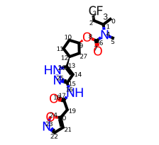 CC(CC(F)(F)F)N(C)C(=O)O[C@@H]1CC[C@H](c2cc(NC(=O)Cc3ccno3)n[nH]2)C1